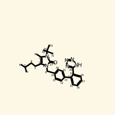 Cc1c(CCC(C)C)n(Cc2ccc(-c3ccccc3-c3nnn[nH]3)cc2)c(=O)n1C(C)(C)C